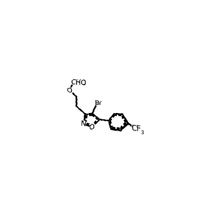 O=COCCc1noc(-c2ccc(C(F)(F)F)cc2)c1Br